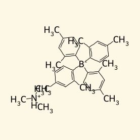 C[NH+](C)C.Cc1ccc([B-](c2ccc(C)cc2C)(c2ccc(C)cc2C)c2ccc(C)cc2C)c(C)c1